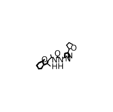 Cc1c(C(C)NC(=O)Nc2cc(C3CCCO3)nn2C)oc2ccccc12